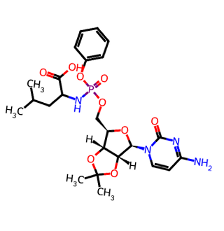 CC(C)CC(NP(=O)(OC[C@H]1O[C@@H](n2ccc(N)nc2=O)[C@@H]2OC(C)(C)O[C@@H]21)Oc1ccccc1)C(=O)O